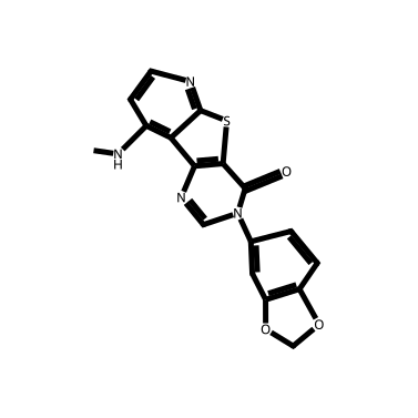 CNc1ccnc2sc3c(=O)n(-c4ccc5c(c4)OCO5)cnc3c12